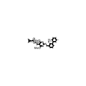 COc1nc(SCc2cccc(-c3ccccc3)c2C)nc(OC)c1CNOC(=O)C1CC1